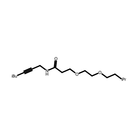 CCC(C)C#CCNC(=O)CCOCCOCCC(C)C